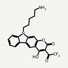 NCCCCCn1c2ccccc2c2cc3c(O)c(C(=O)C(F)(F)F)c(=O)oc3cc21